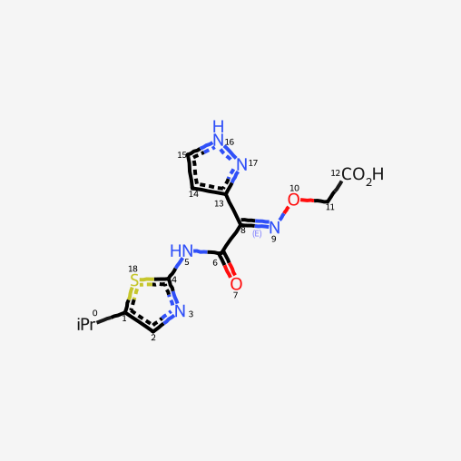 CC(C)c1cnc(NC(=O)/C(=N/OCC(=O)O)c2cc[nH]n2)s1